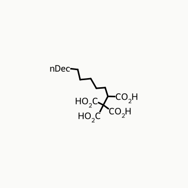 CCCCCCCCCCCCCCCC(C(=O)O)C(C(=O)O)(C(=O)O)C(=O)O